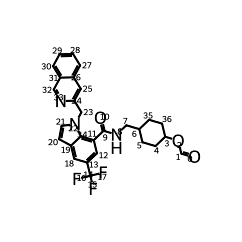 O=COC1CCC(CNC(=O)c2cc(C(F)(F)F)cc3ccn(Cc4cc5ccccc5cn4)c23)CC1